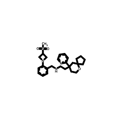 CS(=O)(=O)C1CN(c2ccccc2CNCCC2(c3ccccn3)CCOC3(CCCC3)C2)C1